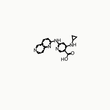 O=C(O)c1cnc(Nc2ccc3cnccc3n2)cc1NC1CC1